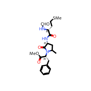 COC(=O)[C@@H](Cc1ccccc1)N1C(=O)[C@H](NC(=O)[C@@H](CCSC)NC=O)CC1C